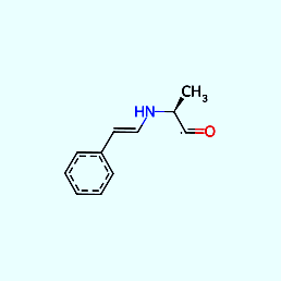 C[C@@H]([C]=O)NC=Cc1ccccc1